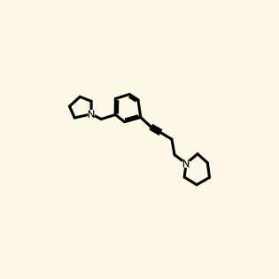 C(#Cc1cccc(CN2CCCC2)c1)CCN1CCCCC1